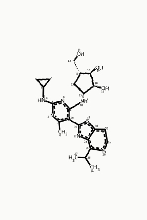 Cc1nc(NC2CC2)nc(N[C@@H]2C[C@H](CO)[C@@H](O)[C@H]2O)c1-c1nc2c(C(C)C)nccc2s1